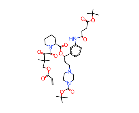 C=CC(=O)OCC(C)(C)C(=O)C(=O)N1CCCC[C@H]1C(=O)O[C@H](CCN1CCN(C(=O)OC(C)(C)C)CC1)c1cccc(NC(=O)CCC(=O)OC(C)(C)C)c1